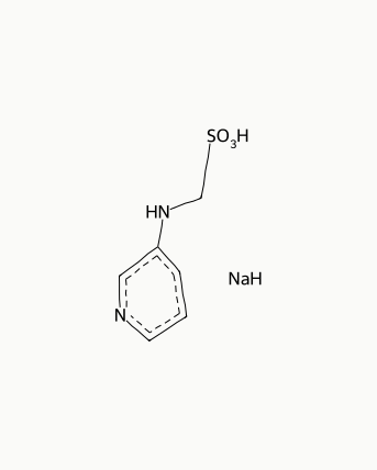 O=S(=O)(O)CNc1cccnc1.[NaH]